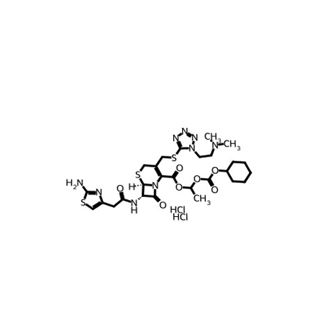 CC(OC(=O)OC1CCCCC1)OC(=O)C1=C(CSc2nnnn2CCN(C)C)CS[C@@H]2[C@@H](NC(=O)Cc3csc(N)n3)C(=O)N12.Cl.Cl